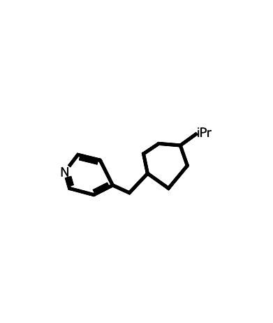 CC(C)C1CCC(Cc2ccncc2)CC1